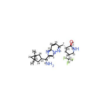 N[C@@H](c1cn2nc(C[C@H]3C[C@@H](C(F)(F)F)CNC3=O)ccc2n1)C1C[C@@H]2C[C@@H]2C1